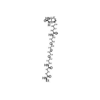 CCNC(=O)CCCC(=O)NCCCOCCOCCOCCCNC(=O)CCCC[C@H]1SCC2NC(=O)NC21